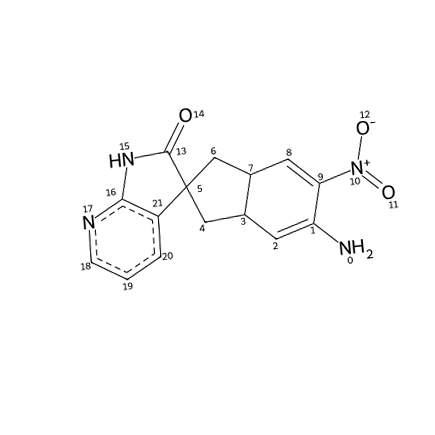 NC1=CC2CC3(CC2C=C1[N+](=O)[O-])C(=O)Nc1ncccc13